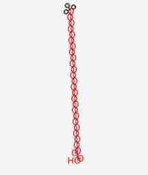 O=C(O)CCC(=O)OCCOCCOCCOCCOCCOCCOCCOCCOCCOCCOCCOCCOCCOCCOCCOCCOCCOCCOCCOCCOCCOCCOCCOCCOC(c1ccccc1)(c1ccccc1)c1ccccc1